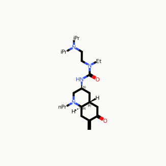 C=C1C[C@@H]2[C@@H](CC1=O)C[C@H](NC(=O)N(CC)CCN(C(C)C)C(C)C)CN2CCC